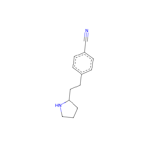 N#Cc1ccc(CCC2CCCN2)cc1